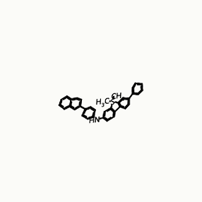 CS1(C)c2cc(Nc3ccc(-c4ccc5ccccc5c4)cc3)ccc2-c2ccc(-c3ccccc3)cc21